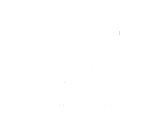 CCCCCC1=C(CCCC)[C]([Ti+3])=C([SiH2]c2c(C)cc(C)cc2C)C1.[Cl-].[Cl-].[Cl-]